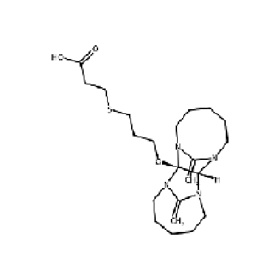 C=C1N2CCCCCN1[C@]1(OCCCSCCC(=O)O)[C@H]2N2CCCCCN1C2=C